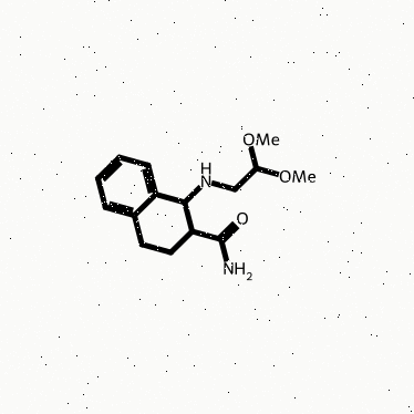 COC(CNC1c2ccccc2CCC1C(N)=O)OC